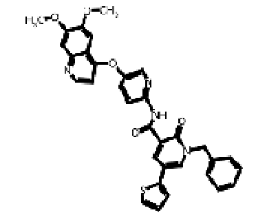 COc1cc2nccc(Oc3ccc(NC(=O)c4cc(-c5cccs5)cn(Cc5ccccc5)c4=O)nc3)c2cc1OC